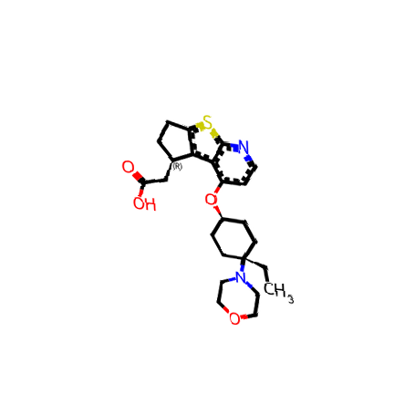 CC[C@]1(N2CCOCC2)CC[C@H](Oc2ccnc3sc4c(c23)[C@@H](CC(=O)O)CC4)CC1